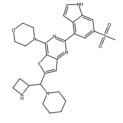 CS(=O)(=O)c1cc(-c2nc(N3CCOCC3)c3sc(C(C4CCN4)N4CCCCC4)cc3n2)c2cc[nH]c2c1